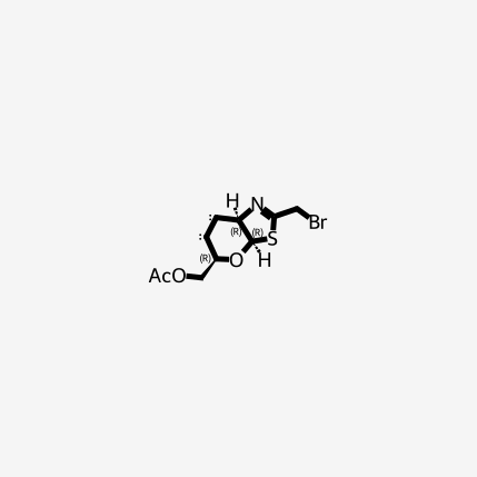 CC(=O)OC[C@H]1[C][C][C@H]2N=C(CBr)S[C@H]2O1